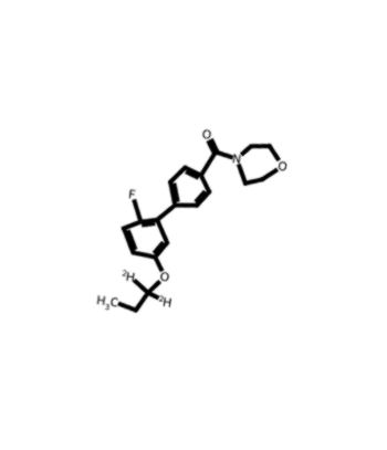 [2H]C([2H])(CC)Oc1ccc(F)c(-c2ccc(C(=O)N3CCOCC3)cc2)c1